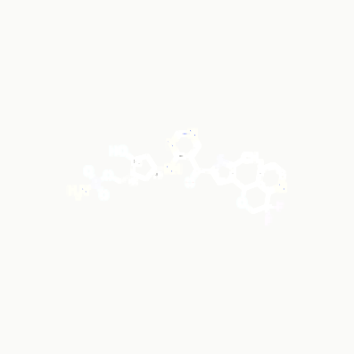 Cc1sc(C(=O)c2cncnc2N[C@@H]2C[C@H](COS(N)(=O)=O)[C@@H](O)C2)cc1C1OCC(F)(F)c2ncccc21